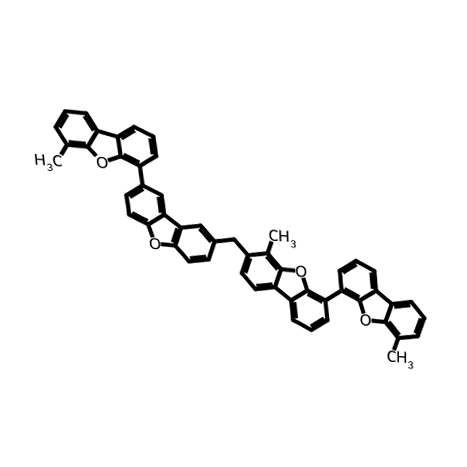 Cc1cccc2c1oc1c(-c3ccc4oc5ccc(Cc6ccc7c(oc8c(-c9cccc%10c9oc9c(C)cccc9%10)cccc87)c6C)cc5c4c3)cccc12